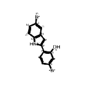 Oc1cc(Br)ccc1-c1cc2cc(Br)ccc2[nH]1